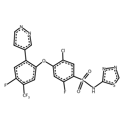 O=S(=O)(Nc1nncs1)c1cc(Cl)c(Oc2cc(C(F)(F)F)c(F)cc2-c2ccnnc2)cc1F